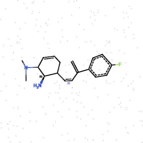 C=C(/C=C\C1CC=CC(N(C)C)[C@@H]1N)c1ccc(F)cc1